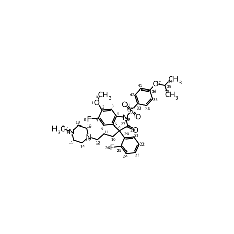 COc1cc2c(cc1F)C(CCCN1CCN(C)CC1)(c1ccccc1F)C(=O)N2S(=O)(=O)c1ccc(OC(C)C)cc1